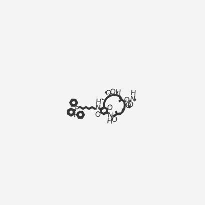 CNC(=O)O[C@H]1/C(C)=C/[C@H](C)[C@@H](O)[C@@H](OC)C[C@H](C)CC2=C(NCCCCCC[PH](c3ccccc3)(c3ccccc3)c3ccccc3)C(=O)C=C(NC(=O)/C(C)=C/C=C\[C@@H]1OC)C2=O